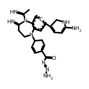 CC(=N)N1C(=N)CCN(C2C=CC(C(=O)N=NN)=CC2)c2cc(C3=CC=C(N)NC3)ccc21